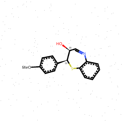 COc1ccc([C@@H]2Sc3ccccc3N=C[C@@H]2O)cc1